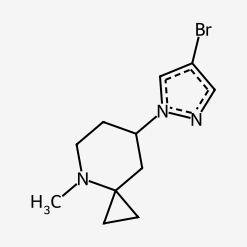 CN1CCC(n2cc(Br)cn2)CC12CC2